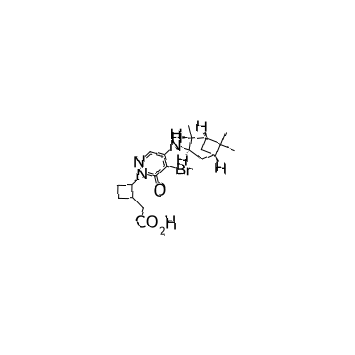 C[C@@H]1[C@H]2C[C@@H](C[C@H]1Nc1cnn(C3CCC3CC(=O)O)c(=O)c1Br)C2(C)C